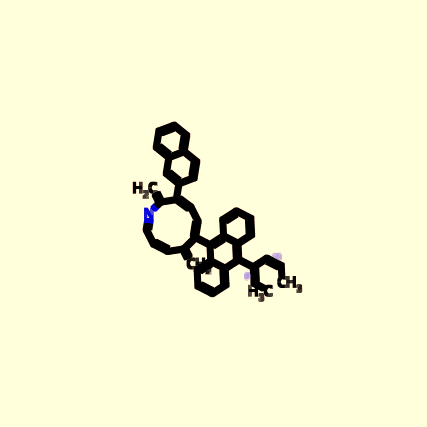 C=c1cccnc(=C)c(-c2ccc3ccccc3c2)ccc1-c1c2ccccc2c(C(/C=C\C)=C/C)c2ccccc12